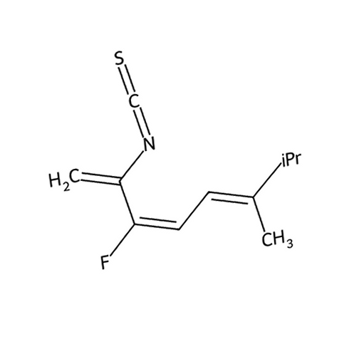 C=C(N=C=S)/C(F)=C\C=C(/C)C(C)C